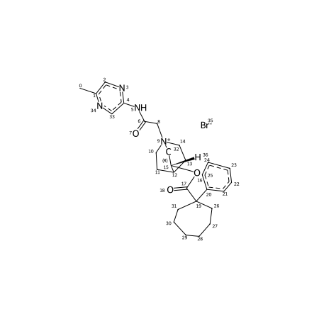 Cc1cnc(NC(=O)C[N+]23CCC(CC2)[C@@H](OC(=O)C2(c4ccccc4)CCCCCC2)C3)cn1.[Br-]